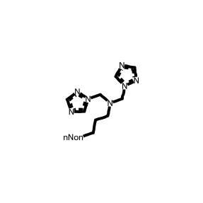 CCCCCCCCCCCCN(Cn1cncn1)Cn1cncn1